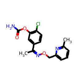 CC(=NOCc1cccc(C)n1)c1ccc(Cl)c(OC(N)=O)c1